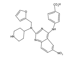 O=C(O)c1ccc(Nc2nc(N(Cc3ccco3)C3CCNCC3)nc3ccc([N+](=O)[O-])cc23)cc1